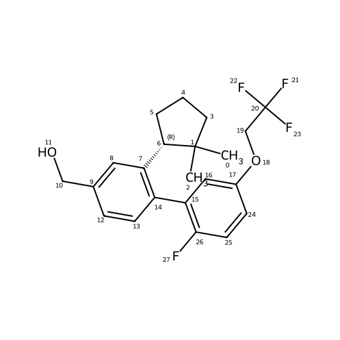 CC1(C)CCC[C@H]1c1cc(CO)ccc1-c1cc(OCC(F)(F)F)ccc1F